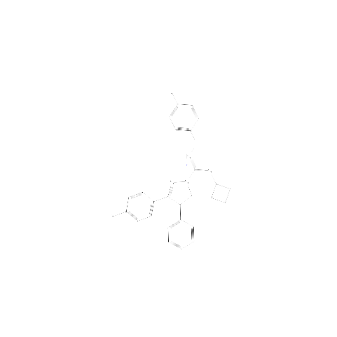 Clc1ccc(S/N=C(\NC2CCC2)N2CC(c3ccccc3)C(c3ccc(Cl)cc3)=N2)cc1